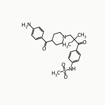 CC(C)(CN1CCC(C(=O)c2ccc(N)cc2)CC1)C(=O)c1ccc(NS(C)(=O)=O)cc1